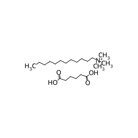 CCCCCCCCCCCC[N+](C)(C)C.O=C(O)CCCCC(=O)O